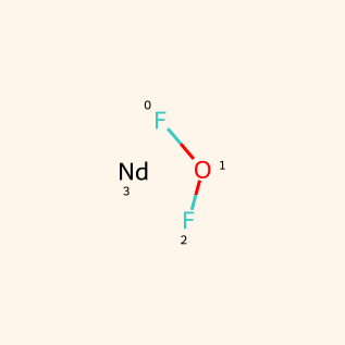 FOF.[Nd]